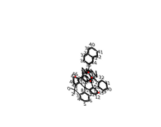 CC1(C)c2ccccc2C2(c3ccccc3-c3ccccc32)c2c(-c3nc(-c4ccccc4)nc(-c4ccc5ccccc5c4)n3)cccc21